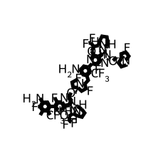 Cc1c(F)c(N)cc(-c2nc3c4c(nc(OC[C@@]56CCCN5C(Cc5c(F)c(N)cc(-c7nc8c9c(nc(OC[C@@]%10%11CCCN%10C[C@H](F)C%11)nc9c7F)N7C[C@H]9CC[C@H](N9)C7C(C(F)F)O8)c5C(F)(F)F)[C@H](F)C6)nc4c2F)N2C[C@H]4CC[C@H](N4)C2C(C(F)F)O3)c1C(F)(F)F